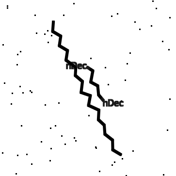 CCCCCCCCCCCCCCCCCCC.CCCCCCCCCCCCCCCCCCCCCCCC